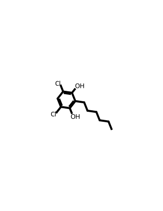 CCCCCCc1c(O)c(Cl)cc(Cl)c1O